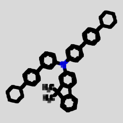 CC1(C)c2ccccc2-c2ccc(N(c3ccc(-c4ccc(C5CCCCC5)cc4)cc3)c3cccc(-c4ccc(C5CCCCC5)cc4)c3)cc21